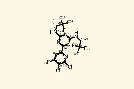 C[C@@H](Nc1nc(N[C@H](C)C(F)(F)F)nc(-c2cc(F)c(Cl)c(Cl)n2)n1)C(F)(F)F